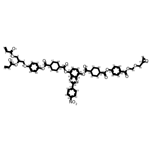 C=CC(=O)OCC(COc1ccc(OC(=O)C2CCC(C(=O)Oc3ccc(OC(=O)C4CCC(C(=O)Oc5ccc(C(=O)OCOCC6CO6)cc5)CC4)c4nc(-c5ccc([N+](=O)[O-])cc5)sc34)CC2)cc1)OC(=O)C=C